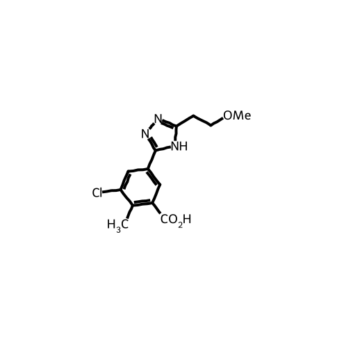 COCCc1nnc(-c2cc(Cl)c(C)c(C(=O)O)c2)[nH]1